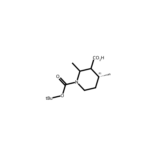 CC1C(C(=O)O)[C@H](C)CCN1C(=O)OC(C)(C)C